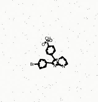 CS(=O)(=O)c1ccc(-c2c(-c3ccc(Br)cc3)nc3ncccn23)cc1